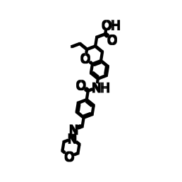 CCC1Oc2cc(NC(=O)c3ccc(C=NN4CCOCC4)cc3)ccc2CC1CC(=O)O